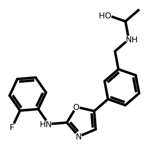 CC(O)NCc1cccc(-c2cnc(Nc3ccccc3F)o2)c1